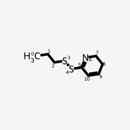 CCCSSC1=NCCC=C1